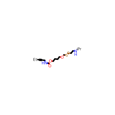 CCC#CCNC(=O)OCCCCOCSSCCNC(C)C